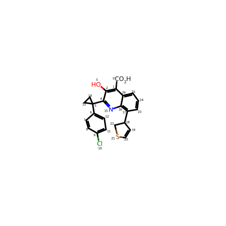 O=C(O)c1c(O)c(C2(c3ccc(Cl)cc3)CC2)nc2c(C3C=CSC3)cccc12